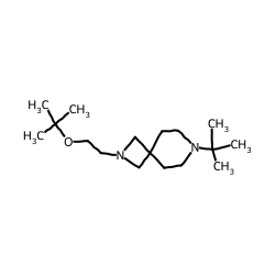 CC(C)(C)OCCN1CC2(CCN(C(C)(C)C)CC2)C1